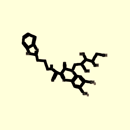 Cc1cc2nc(C(=O)NCCCc3nc4ccccc4[nH]3)c(=O)n(CC(O)C(O)C(O)CO)c2cc1C